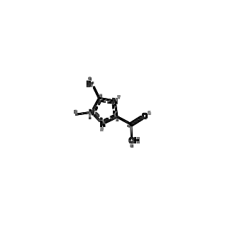 Cn1nc(C(=O)O)nc1Br